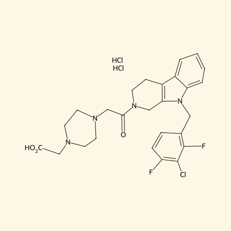 Cl.Cl.O=C(O)CN1CCN(CC(=O)N2CCc3c(n(Cc4ccc(F)c(Cl)c4F)c4ccccc34)C2)CC1